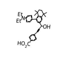 CCN(CC)c1ccc(-c2cc(C(O)C#Cc3ccc(C(=O)O)cc3)cc3c2C(C)(C)CCC3(C)C)cc1